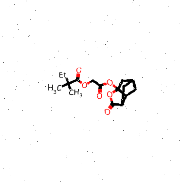 CCC(C)(C)C(=O)OCC(=O)OC12CC3CC(C(=O)O1)C2C3